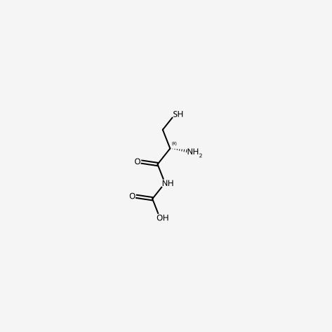 N[C@@H](CS)C(=O)NC(=O)O